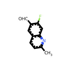 Cc1ccc2cc(C=O)c(F)cc2n1